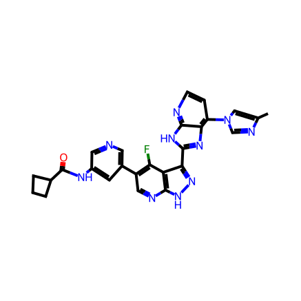 Cc1cn(-c2ccnc3[nH]c(-c4n[nH]c5ncc(-c6cncc(NC(=O)C7CCC7)c6)c(F)c45)nc23)cn1